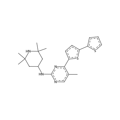 Cc1cnc(NC2CC(C)(C)NC(C)(C)C2)nc1-c1ccc(-c2cccs2)s1